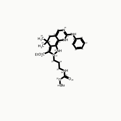 CCOC(=O)C1=C2C(=C3NC(Nc4ccccc4)=NC=C3CC2(C)C)NN1CCCNC(=O)OC(C)(C)C